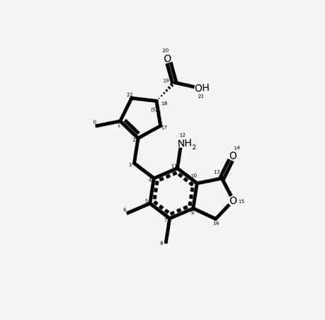 CC1=C(Cc2c(C)c(C)c3c(c2N)C(=O)OC3)C[C@@H](C(=O)O)C1